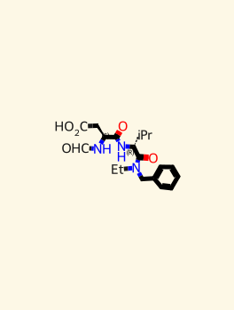 CCN(Cc1ccccc1)C(=O)[C@H](NC(=O)[C@H](CC(=O)O)NC=O)C(C)C